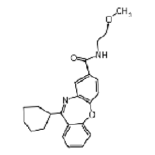 COCCNC(=O)c1ccc2c(c1)N=C(C1CCCCC1)c1ccccc1O2